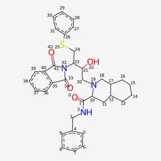 O=C(NCc1ccccc1)C1CC2CCCCC2CN1CC(O)C(CSc1ccccc1)N1C(=O)c2ccccc2C1=O